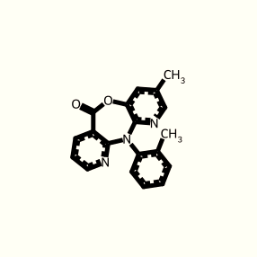 Cc1cnc2c(c1)OC(=O)c1cccnc1N2c1ccccc1C